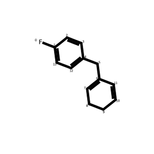 Fc1ccc(CC2=CCCC=C2)cc1